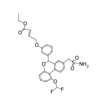 CCOC(=O)/C=C/COc1cccc(C2Oc3cccc(OC(F)F)c3-c3ccc(CS(N)(=O)=O)cc32)c1